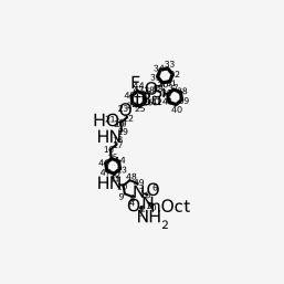 CCCCCCCCN(C(N)=O)C(=O)N1CCC(Nc2ccc(CCNC[C@H](O)COc3ccc(O[Si](c4ccccc4)(c4ccccc4)C(C)(C)C)c(F)c3)cc2)CC1